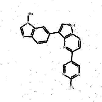 CC(C)(C)n1cnc2ccc(-c3c[nH]c4ncc(-c5cnc(C#N)nc5)nc34)cc21